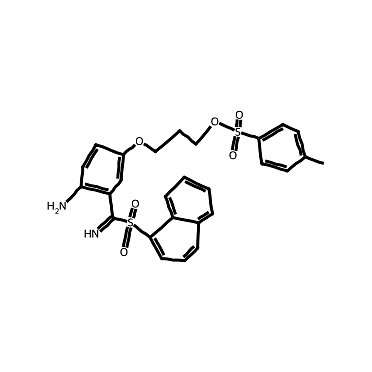 Cc1ccc(S(=O)(=O)OCCCOc2ccc(N)c(C(=N)S(=O)(=O)c3cccc4ccccc34)c2)cc1